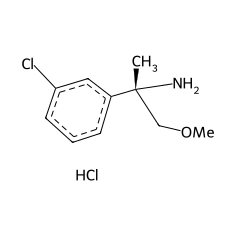 COC[C@@](C)(N)c1cccc(Cl)c1.Cl